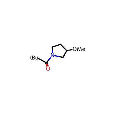 CO[C@@H]1CCN(C(=O)C(C)(C)C)C1